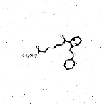 CC(SCCCCC(=O)N(C)O)C1C2CCC(O2)C1COC1CCCCC1